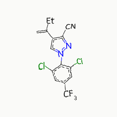 C=C(CC)c1cn(-c2c(Cl)cc(C(F)(F)F)cc2Cl)nc1C#N